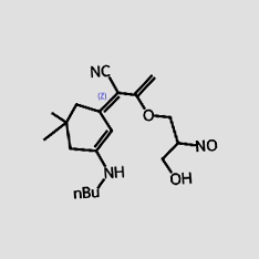 C=C(OCC(CO)N=O)/C(C#N)=C1\C=C(NCCCC)CC(C)(C)C1